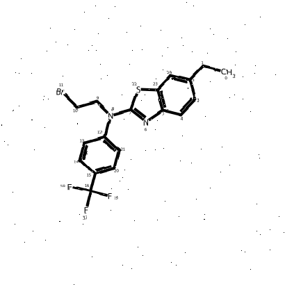 CCc1ccc2nc(N(CCBr)c3ccc(C(F)(F)F)cc3)sc2c1